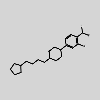 Fc1cc(C2CCC(CCCCC3CCCC3)CC2)ccc1C(F)F